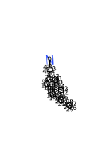 N#Cc1ccc(-c2cc3cccc4c(-c5cccc(-c6ccc(-c7ccccc7)cc6-c6ccccc6)c5)cc5cccc2c5c34)cc1